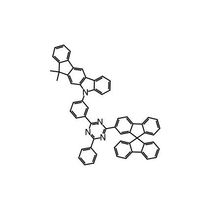 CC1(C)c2ccccc2-c2cc3c4ccccc4n(-c4cccc(-c5nc(-c6ccccc6)nc(-c6ccc7c(c6)C6(c8ccccc8-c8ccccc86)c6ccccc6-7)n5)c4)c3cc21